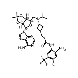 CC(C)N(C[C@H]1O[C@@H](n2cnc3c(N)ncnc32)[C@@H]2OC(C)(C)O[C@@H]21)[C@H]1C[C@H](CCC(=O)Nc2cc(C(F)(F)F)c(Cl)cc2N)C1